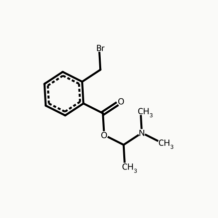 CC(OC(=O)c1ccccc1CBr)N(C)C